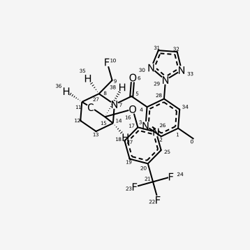 Cc1cnc(C(=O)N2[C@H](CF)[C@@H]3CC[C@H]2[C@H](Oc2ccc(C(F)(F)F)cn2)C3)c(-n2nccn2)c1